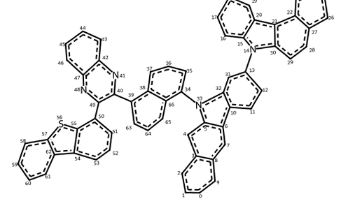 c1ccc2cc3c(cc2c1)c1ccc(-n2c4ccccc4c4c5ccccc5ccc42)cc1n3-c1cccc2c(-c3nc4ccccc4nc3-c3cccc4c3sc3ccccc34)cccc12